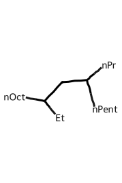 CCCCCCCCC(CC)CC(CCC)CCCCC